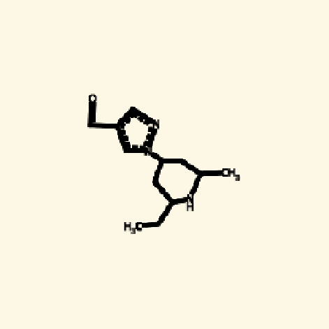 CCC1CC(n2cc(C=O)cn2)CC(C)N1